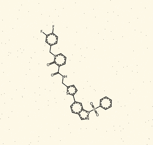 O=C(NCc1ccc(-c2ccc3cnn(S(=O)(=O)c4ccccc4)c3c2)s1)c1cccn(Cc2ccc(F)c(F)c2)c1=O